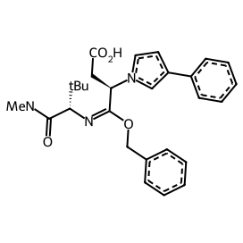 CNC(=O)[C@@H](N=C(OCc1ccccc1)[C@@H](CC(=O)O)n1ccc(-c2ccccc2)c1)C(C)(C)C